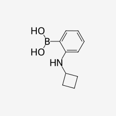 OB(O)c1ccccc1NC1CCC1